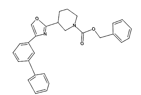 O=C(OCc1ccccc1)N1CCCC(c2nc(-c3cccc(-c4ccccc4)c3)co2)C1